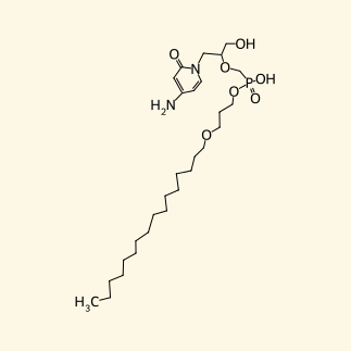 CCCCCCCCCCCCCCCCOCCCOP(=O)(O)COC(CO)Cn1ccc(N)cc1=O